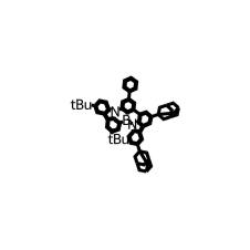 CC(C)(C)c1ccc2c(c1)c1cc(C(C)(C)C)cc3c1n2-c1cc(-c2ccccc2)cc2c1B3n1c3ccc(C45CC6CC(CC(C6)C4)C5)cc3c3cc(C45CC6CC(CC(C6)C4)C5)cc-2c31